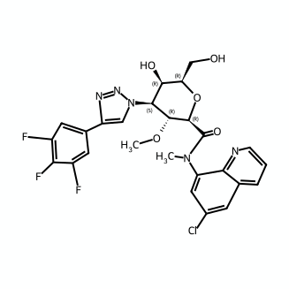 CO[C@@H]1[C@@H](n2cc(-c3cc(F)c(F)c(F)c3)nn2)[C@@H](O)[C@@H](CO)O[C@H]1C(=O)N(C)c1cc(Cl)cc2cccnc12